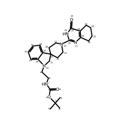 CC(C)(C)OC(=O)NCCN1CC2(CCN(c3nc4c(c(=O)[nH]3)CCCC4)CC2)c2ccccc21